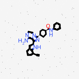 C#Cc1cccc2cc(-c3nc([C@H]4CC[C@H](C(=O)Nc5ccccc5)CC4)n4ccnc(N)c34)[nH]c12